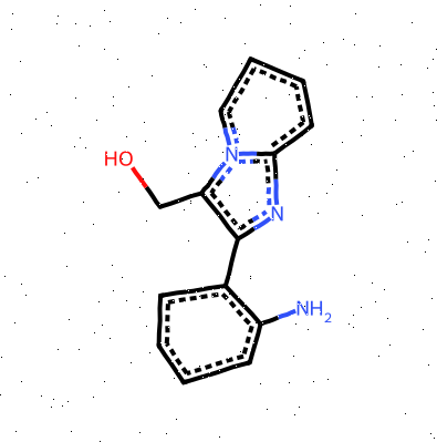 Nc1ccccc1-c1nc2ccccn2c1CO